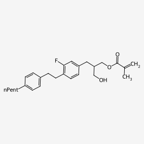 C=C(C)C(=O)OCC(CO)Cc1ccc(CCc2ccc(CCCCC)cc2)c(F)c1